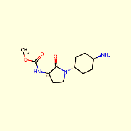 COC(=O)N[C@@H]1CCN([C@H]2CC[C@H](N)CC2)C1=O